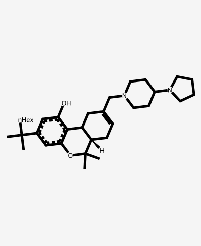 CCCCCCC(C)(C)c1cc(O)c2c(c1)OC(C)(C)[C@H]1CC=C(CN3CCC(N4CCCC4)CC3)CC21